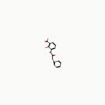 COC(=O)c1cccc(C(C#N)C(=O)Cc2ccccc2)c1Br